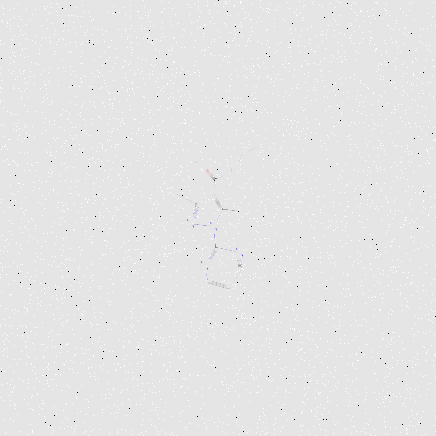 CCOC(=O)c1c(C)nn(-c2ncccn2)c1C